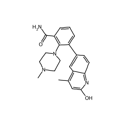 Cc1cc(O)nc2ccc(-c3cccc(C(N)=O)c3N3CCN(C)CC3)cc12